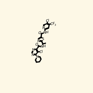 CC(NC(=O)c1ncnc(N2CCCCC2)c1Cl)c1ncc(C(=O)Nc2cc(C(F)(F)F)c(Cl)cn2)s1